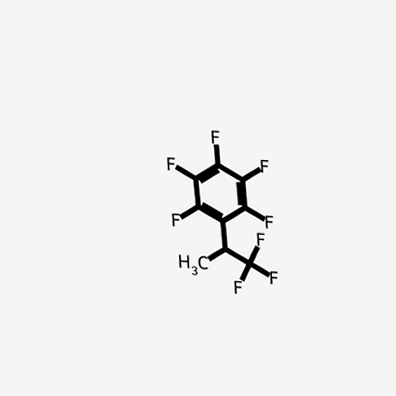 CC(c1c(F)c(F)c(F)c(F)c1F)C(F)(F)F